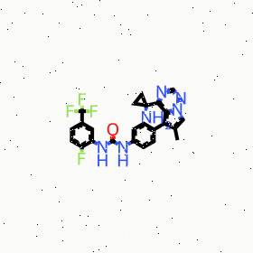 Cc1cn2ncnc(C3(N)CC3)c2c1-c1ccc(NC(=O)Nc2cc(C(F)(F)F)ccc2F)cc1